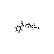 CC(C)(COC(=O)c1ccccc1)C1CC(=O)C1